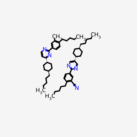 CCCCCc1ccc(-c2ncc([C@H]3CC[C@H](CCCCC)CC3)cn2)cc1C#N.CCCCCc1ccc(-c2nccc([C@H]3CC[C@H](CCCCC)CC3)n2)cc1C